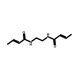 C/C=C/C(=O)NCCNC(=O)/C=C/C